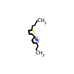 CCCCc1ccc(-c2ccc(CCC)nc2)s1